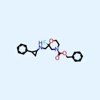 O=C(OCc1ccccc1)N1CCOC(F)(CNC2CC2c2ccccc2)C1